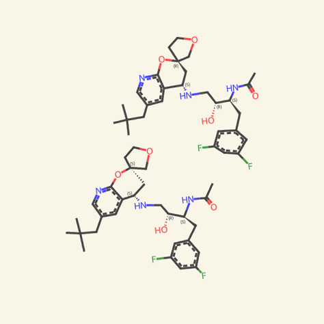 CC(=O)N[C@@H](Cc1cc(F)cc(F)c1)[C@H](O)CN[C@H]1C[C@@]2(CCOC2)Oc2ncc(CC(C)(C)C)cc21.CC(=O)N[C@@H](Cc1cc(F)cc(F)c1)[C@H](O)CN[C@H]1C[C@]2(CCOC2)Oc2ncc(CC(C)(C)C)cc21